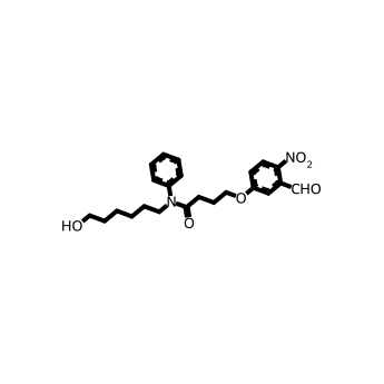 O=Cc1cc(OCCCC(=O)N(CCCCCCO)c2ccccc2)ccc1[N+](=O)[O-]